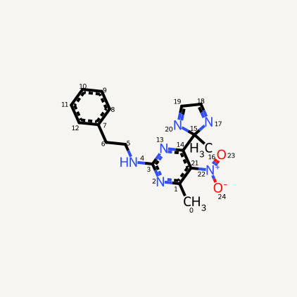 Cc1nc(NCCc2ccccc2)nc(C2(C)N=CC=N2)c1[N+](=O)[O-]